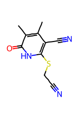 Cc1c(C#N)c(SCC#N)[nH]c(=O)c1C